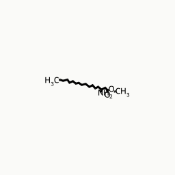 CCCCCCCCCCCCCCC(N)CC(=O)OCC